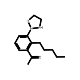 CCCCCc1c(C(C)=O)cccc1N1OCCP1